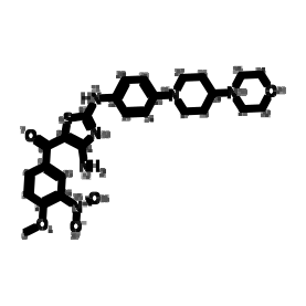 COc1ccc(C(=O)c2sc(Nc3ccc(N4CCC(N5CCOCC5)CC4)cc3)nc2N)cc1[N+](=O)[O-]